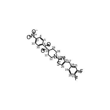 O=[N+]([O-])c1ccc(S(=O)(=O)C2CCN(c3nc(Cc4ccc(F)c(F)c4)cs3)CC2)cc1